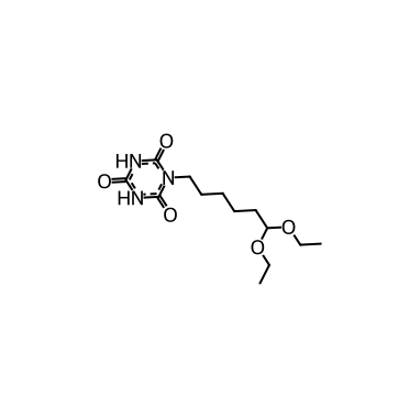 CCOC(CCCCCn1c(=O)[nH]c(=O)[nH]c1=O)OCC